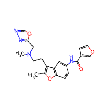 Cc1oc2ccc(NC(=O)c3ccoc3)cc2c1CCN(C)Cc1nnco1